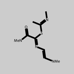 C/N=C(\C)S/C(=N\C=C\NC)C(=O)NC